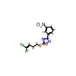 O=[N+]([O-])c1cccc(-c2nsc(SCCC=C(F)F)n2)c1